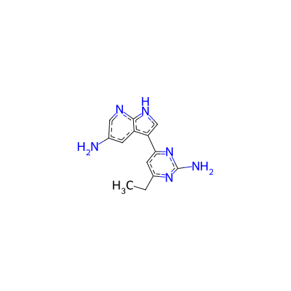 CCc1cc(-c2c[nH]c3ncc(N)cc23)nc(N)n1